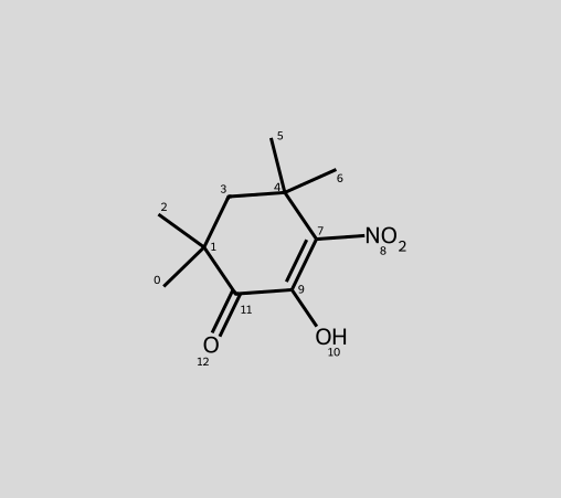 CC1(C)CC(C)(C)C([N+](=O)[O-])=C(O)C1=O